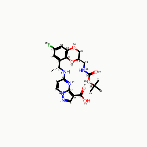 C[C@@H](Nc1ccn2ncc(C(=O)O)c2n1)c1cc(F)cc2c1O[C@H](CNC(=O)OC(C)(C)C)CO2